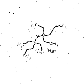 CCC[Si](CC)(CC)[N-][Si](CC)(CC)CCC.[Na+]